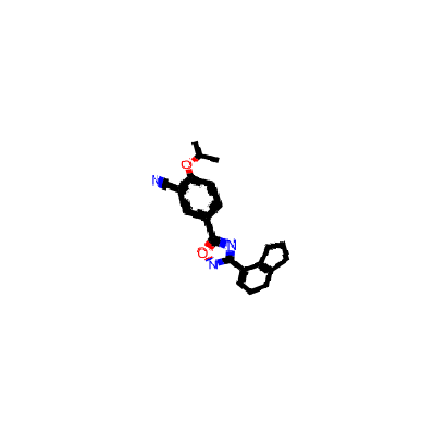 CC(C)Oc1ccc(-c2nc(C3=CCCC4=C3CCC4)no2)cc1C#N